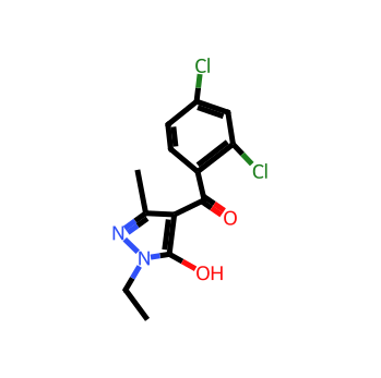 CCn1nc(C)c(C(=O)c2ccc(Cl)cc2Cl)c1O